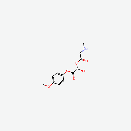 CNCC(=O)OB(O)C(=O)Oc1ccc(OC)cc1